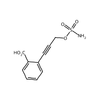 NS(=O)(=O)OCC#Cc1ccccc1C(=O)O